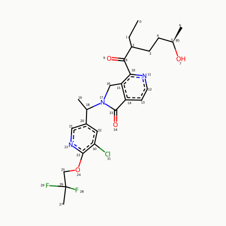 CCC(CC[C@@H](C)O)C(=O)c1nccc2c1CN(C(C)c1cnc(OCC(C)(F)F)c(Cl)c1)C2=O